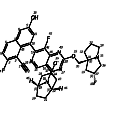 C#Cc1c(F)ccc2cc(O)cc(-c3ncc4c(N5[C@@H]6CC[C@H]5C[S+]([O-])C6)nc(OC[C@@]56CCCN5C[C@H](F)C6)nc4c3F)c12